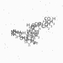 C=C(CC(C)(C)C(=O)O)O[C@H]1CC[C@]2(C)[C@H]3CCC4(C)[C@H]5[C@H](C(C)C)CC[C@]5(CCOC(=O)Cc5nnn[nH]5)CC[C@@]4(C)[C@]3(C)CC[C@H]2C1(C)C